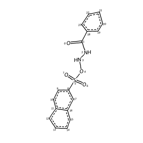 O=C(NNOS(=O)(=O)c1ccc2ccccc2c1)c1ccccc1